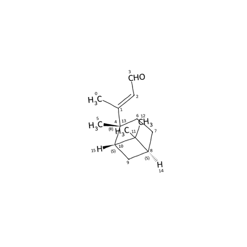 CC(=CC=O)[C@]1(C)CC[C@H]2C[C@H]1C2(C)C